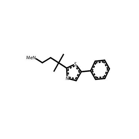 CNCCC(C)(C)c1ncc(-c2ccccc2)s1